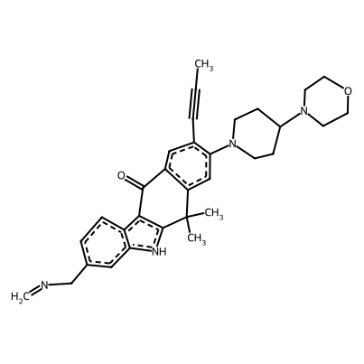 C=NCc1ccc2c3c([nH]c2c1)C(C)(C)c1cc(N2CCC(N4CCOCC4)CC2)c(C#CC)cc1C3=O